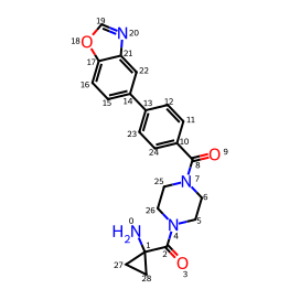 NC1(C(=O)N2CCN(C(=O)c3ccc(-c4ccc5ocnc5c4)cc3)CC2)CC1